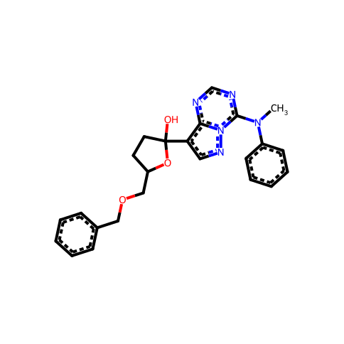 CN(c1ccccc1)c1ncnc2c(C3(O)CCC(COCc4ccccc4)O3)cnn12